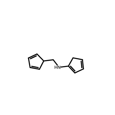 C1=CCC(NCC2C=CC=C2)=C1